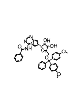 COc1ccc(C(OC[C@H]2O[C@@H](c3cc4ncnc(NC(=O)c5ccccc5)n4c3)[C@H](O)[C@@H]2O)(c2ccccc2)c2ccc(OC)cc2)cc1